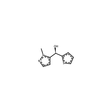 Cn1nccc1[C@@H](O)c1cccs1